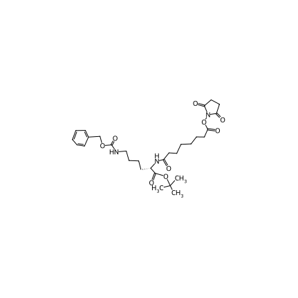 CC(C)(C)OC(=O)[C@H](CCCCNC(=O)OCc1ccccc1)NC(=O)CCCCCCC(=O)ON1C(=O)CCC1=O